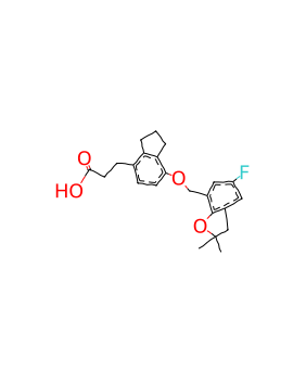 CC1(C)Cc2cc(F)cc(COc3ccc(CCC(=O)O)c4c3CCC4)c2O1